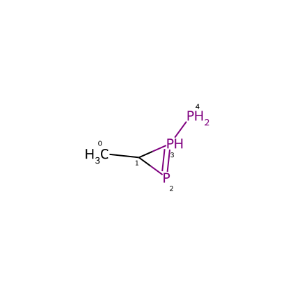 CC1P=[PH]1P